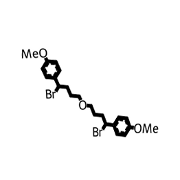 COc1ccc(C(Br)CCCOCCCC(Br)c2ccc(OC)cc2)cc1